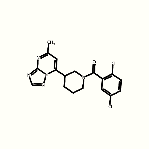 Cc1cc(C2CCCN(C(=O)c3cc(Cl)ccc3Cl)C2)n2ncnc2n1